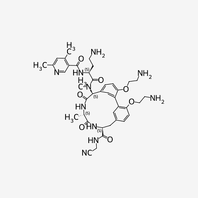 Cc1cc(C)c(C(=O)N[C@@H](CCN)C(=O)N(C)[C@@H]2C(=O)N[C@@H](C)C(=O)N[C@H](C(=O)NCC#N)Cc3ccc(OCCN)c(c3)-c3cc2ccc3OCCN)cn1